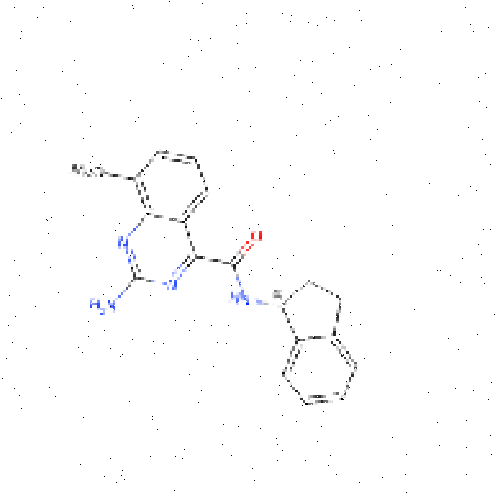 COc1cccc2c(C(=O)N[C@@H]3CCc4ccccc43)nc(N)nc12